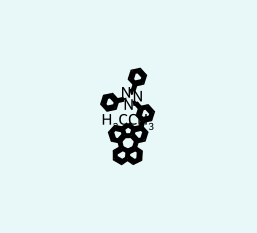 CC1(C)c2cccc3c2-c2c(ccc(-c4cccc(-c5nc(-c6ccccc6)nc(-c6ccccc6)n5)c4)c21)-c1cccc2cccc-3c12